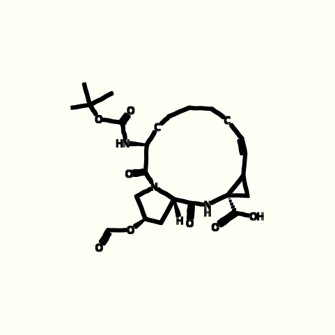 CC(C)(C)OC(=O)N[C@H]1CCCCC/C=C\C2C[C@@]2(C(=O)O)NC(=O)[C@@H]2C[C@@H](OC=O)CN2C1=O